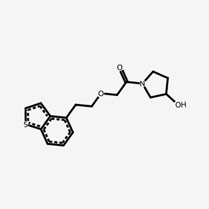 O=C(COCCc1cccc2sccc12)N1CCC(O)C1